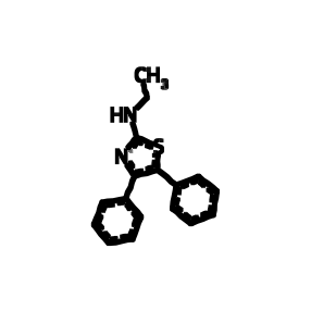 CCNc1nc(-c2ccccc2)c(-c2ccccc2)s1